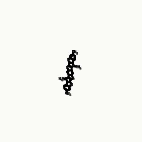 Cc1ccc2c(c1)sc1c3sc4cc5c(cc4c3n(C)c21)sc1c2sc3cc(C)ccc3c2n(C)c51